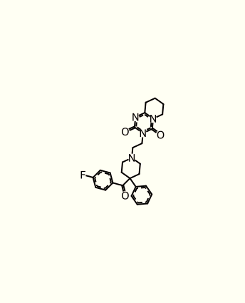 O=C(c1ccc(F)cc1)C1(c2ccccc2)CCN(CCn2c(=O)nc3n(c2=O)CCCC3)CC1